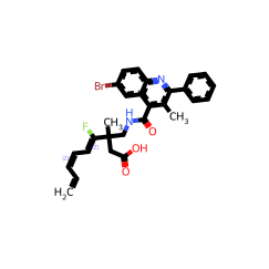 C=C/C=C\C=C(/F)C(C)(CNC(=O)c1c(C)c(-c2ccccc2)nc2ccc(Br)cc12)CC(=O)O